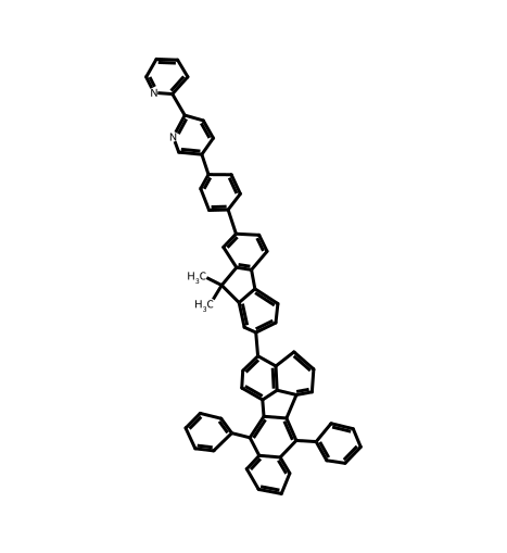 CC1(C)c2cc(-c3ccc(-c4ccc(-c5ccccn5)nc4)cc3)ccc2-c2ccc(-c3ccc4c5c(cccc35)-c3c-4c(-c4ccccc4)c4ccccc4c3-c3ccccc3)cc21